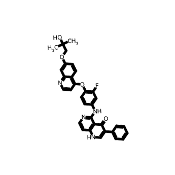 CC(C)(O)COc1ccc2c(Oc3ccc(Nc4nccc5[nH]cc(-c6ccccc6)c(=O)c45)cc3F)ccnc2c1